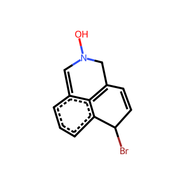 ON1C=c2cccc3c2=C(C=CC3Br)C1